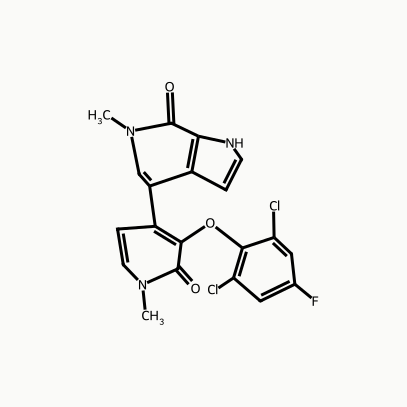 Cn1ccc(-c2cn(C)c(=O)c3[nH]ccc23)c(Oc2c(Cl)cc(F)cc2Cl)c1=O